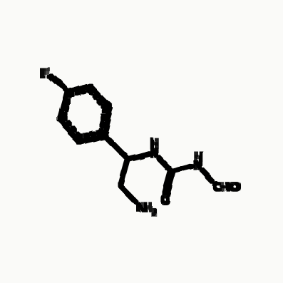 NCC(NC(=O)NC=O)c1ccc(F)cc1